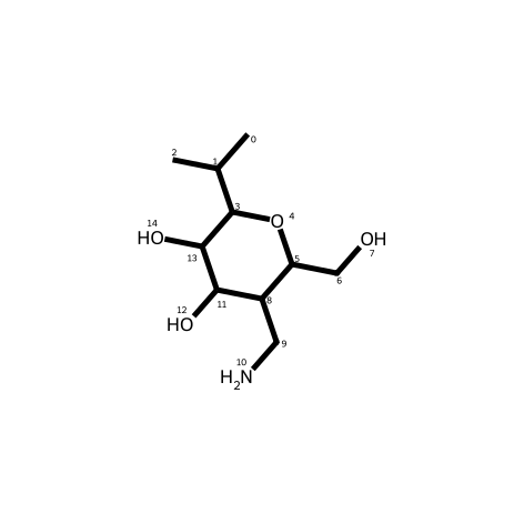 CC(C)C1OC(CO)C(CN)C(O)C1O